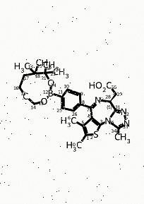 Cc1sc2c(c1C)C(c1ccc(B3OCCCCC(C)(C)C(C)(C)O3)cc1)=N[C@@H](CC(=O)O)c1nnc(C)n1-2